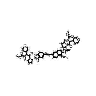 C=C(Nc1ccc2cc(C#Cc3ccc4nc([C@@H]5CC[C@H](C)N5C(=O)[C@@H](NC(=O)OC)C5CCOCC5)[nH]c4c3)ccc2c1N)[C@@H]1CC[C@H](C)N1C(=O)[C@@H](NC(=O)OC)C1CCOCC1